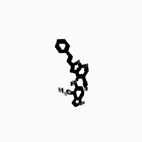 Cc1c(Nc2c(C#N)cnc3sc(/C=C/c4ccccc4)cc23)ccc2[nH]ccc12